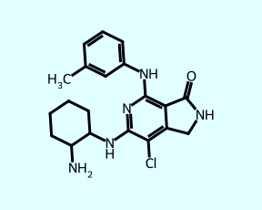 Cc1cccc(Nc2nc(NC3CCCCC3N)c(Cl)c3c2C(=O)NC3)c1